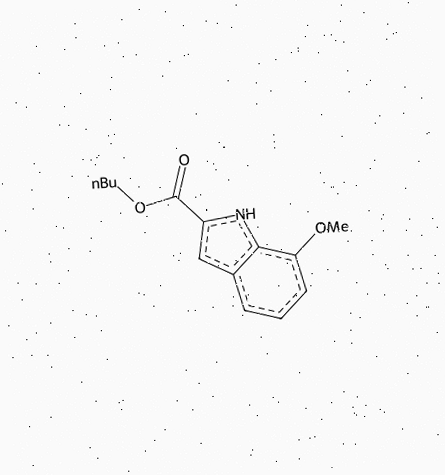 CCCCOC(=O)c1cc2cccc(OC)c2[nH]1